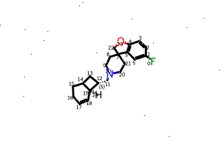 Fc1ccc2c(c1)C1(CCN(C[C@H]3CC4CCC=C[C@@H]43)CC1)CO2